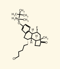 CC(C)(C)[Si](C)(C)Oc1ccc2c(c1)C[C@@H](CCCCCCl)[C@@H]1[C@@H]2[C@@H](F)C[C@]2(C)C(=O)CC[C@@H]12